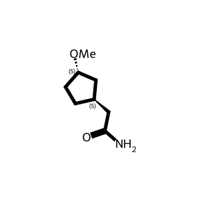 CO[C@H]1CC[C@H](CC(N)=O)C1